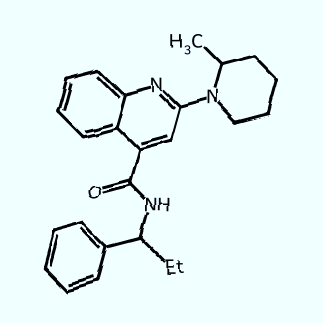 CCC(NC(=O)c1cc(N2CCCCC2C)nc2ccccc12)c1ccccc1